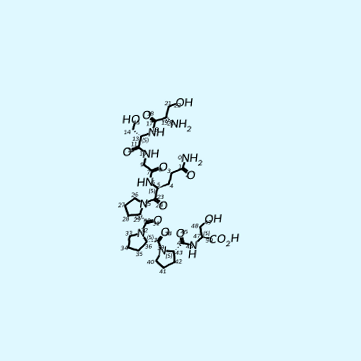 NC(=O)CC[C@H](NC(=O)CNC(=O)[C@H](CO)NC(=O)[C@@H](N)CO)C(=O)N1CCC[C@H]1C(=O)N1CCC[C@H]1C(=O)N1CCC[C@H]1C(=O)N[C@@H](CO)C(=O)O